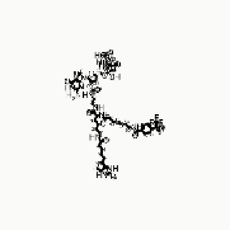 Nc1nc2c(ncn2[C@@H]2O[C@H](COP(=O)(O)OP(=O)(O)OP(=O)(O)O)CC2OC(=O)NCCNC(=O)C(CCCCNC(=O)CCCCC2SCC3NC(=O)NC32)NC(=O)CCSSCCNC(=O)c2ccc(C3(C(F)(F)F)N=N3)cc2)c(=O)[nH]1